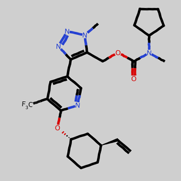 C=C[C@H]1CCC[C@H](Oc2ncc(-c3nnn(C)c3COC(=O)N(C)C3CCCC3)cc2C(F)(F)F)C1